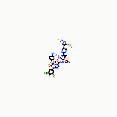 Cc1nn(C)cc1-c1cnc(C2(NC(=O)[C@@H](NC(=O)c3cnc4n3[C@](C)(Cc3ccc(N)cc3)C(=O)N4c3cc(Cl)c(F)c(Cl)c3)[C@@H](C)O)CC2)nc1